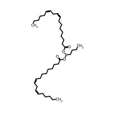 CCCCC/C=C\C/C=C\CCCCCCCC(=O)OB(CCCC)OC(=O)CCCCCCC/C=C\C/C=C\CCCCC